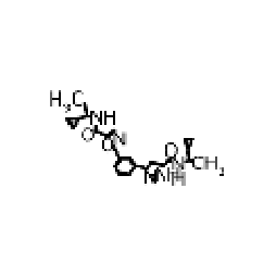 CCC(NC(=O)c1cnc(-c2cccc(-c3cc(C(=O)NC(C)C4CC4)[nH]n3)c2)o1)C1CC1